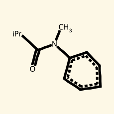 CC(C)C(=O)N(C)c1ccccc1